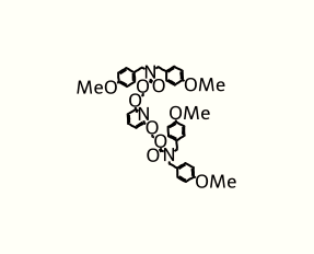 COc1ccc(CN(Cc2ccc(OC)cc2)C(=O)OCOc2cccc(OCOC(=O)N(Cc3ccc(OC)cc3)Cc3ccc(OC)cc3)n2)cc1